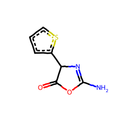 NC1=NC(c2cccs2)C(=O)O1